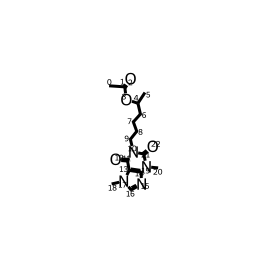 CC(=O)OC(C)CCCCn1c(=O)c2c(ncn2C)n(C)c1=O